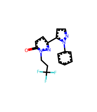 O=c1ccc(-c2ccnn2-c2ccccc2)nn1CCC(F)(F)F